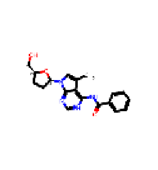 Cc1cn([C@H]2CC[C@@H](CO)O2)c2ncnc(NC(=O)c3ccccc3)c12